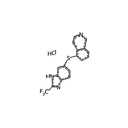 Cl.FC(F)(F)c1nc2ccc(Sc3cccc4cnccc34)cc2[nH]1